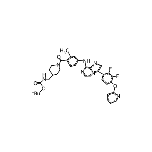 Cc1cc(Nc2nccn3c(-c4ccc(Oc5ccccn5)c(F)c4F)cnc23)ccc1C(=O)N1CCC(CNC(=O)OC(C)(C)C)CC1